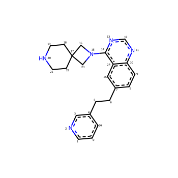 c1cncc(CCc2ccc3ncnc(N4CC5(CCNCC5)C4)c3c2)c1